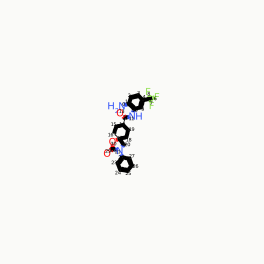 Nc1ccc(C(F)(F)F)cc1NC(=O)[C@H]1CC[C@]2(CC1)CN(c1ccccc1)C(=O)O2